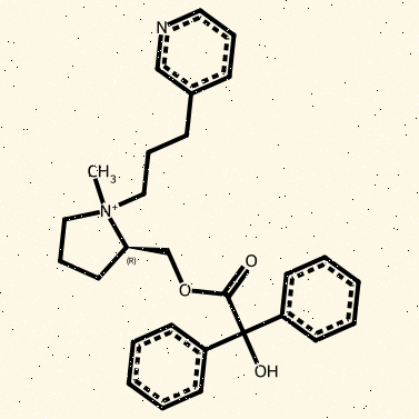 C[N+]1(CCCc2cccnc2)CCC[C@@H]1COC(=O)C(O)(c1ccccc1)c1ccccc1